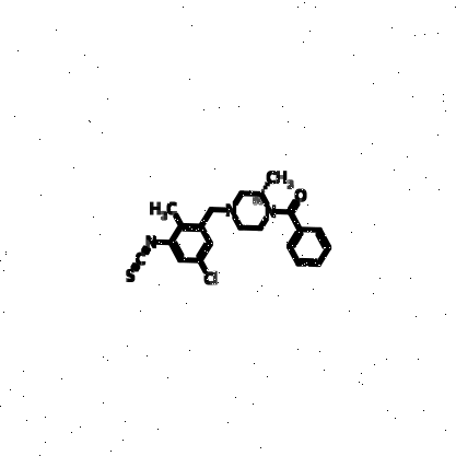 Cc1c(CN2CCN(C(=O)c3ccccc3)[C@@H](C)C2)cc(Cl)cc1N=C=S